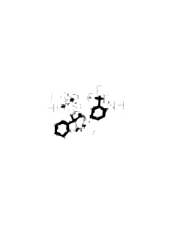 CN1C(=O)N(c2ccc(N)c(C(F)(F)F)c2)C(=O)C1(COP(=O)(O)O)c1ccccc1